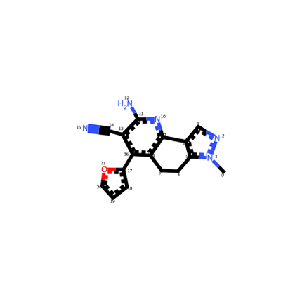 Cn1ncc2c1CCc1c-2nc(N)c(C#N)c1-c1ccco1